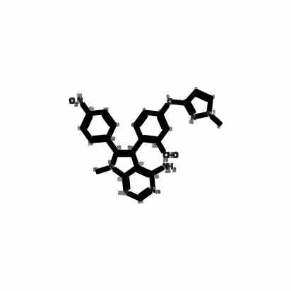 Cn1ccc(Oc2ccc(-c3c(-c4ccc([N+](=O)[O-])cc4)n(C)c4ncnc(N)c34)c(C=O)c2)n1